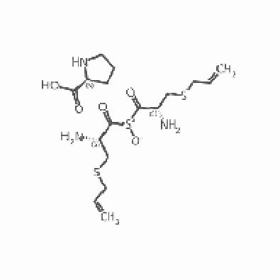 C=CCSC[C@H](N)C(=O)[S+]([O-])C(=O)[C@@H](N)CSCC=C.O=C(O)[C@@H]1CCCN1